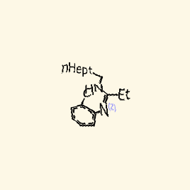 CCCCCCCCN/C(CC)=N\c1ccccc1Cl